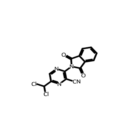 N#Cc1nc(C(Cl)Cl)cnc1N1C(=O)c2ccccc2C1=O